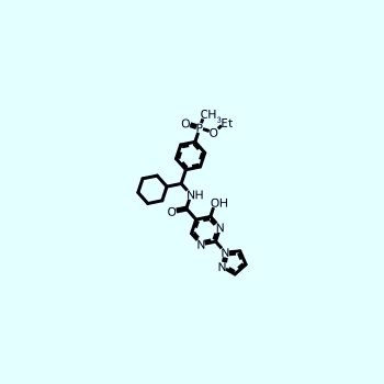 CCOP(C)(=O)c1ccc(C(NC(=O)c2cnc(-n3cccn3)nc2O)C2CCCCC2)cc1